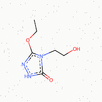 CCOc1n[nH]c(=O)n1CCO